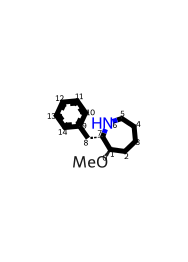 CO[C@@H]1CCCCN[C@H]1Cc1ccccc1